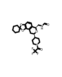 O=CNC[C@H]1O[C@@H](C2CCN(C(=O)C(F)(F)F)CC2)Cc2c1ccc1c2OC2(CCCCC2)O1